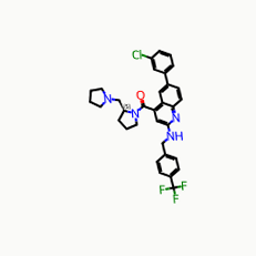 O=C(c1cc(NCc2ccc(C(F)(F)F)cc2)nc2ccc(-c3cccc(Cl)c3)cc12)N1CCC[C@H]1CN1CCCC1